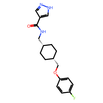 O=C(NC[C@H]1CC[C@@H](COc2ccc(F)cc2)CC1)c1cn[nH]c1